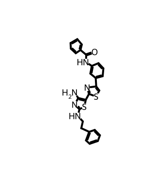 Nc1nc(NCCc2ccccc2)sc1-c1nc(-c2cccc(NC(=O)c3ccccc3)c2)cs1